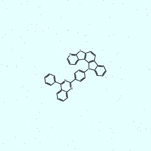 c1ccc(-c2nc(-c3ccc(-n4c5ccccc5c5ccc6sc7ncccc7c6c54)cc3)nc3ccccc23)cc1